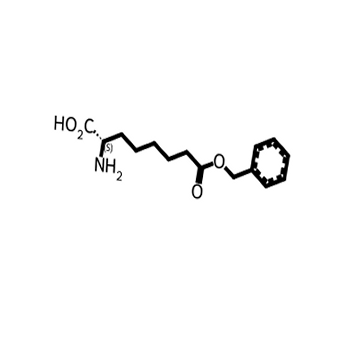 N[C@@H](CCCCCC(=O)OCc1ccccc1)C(=O)O